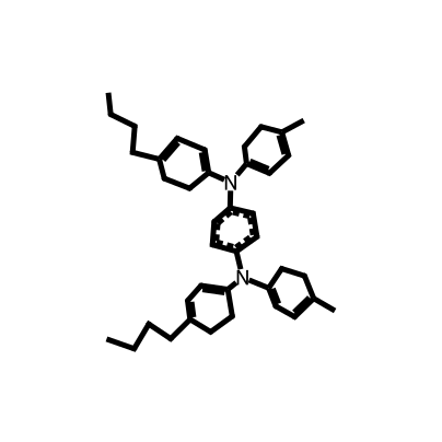 CCCCC1=CC=C(N(C2=CC=C(C)CC2)c2ccc(N(C3=CC=C(C)CC3)C3=CC=C(CCCC)CC3)cc2)CC1